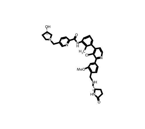 COc1cc(-c2nccc(-c3cccc(NC(=O)c4ccc(CN5CC[C@H](O)C5)cn4)c3C)c2Cl)ccc1CNC[C@@H]1CCC(=O)N1